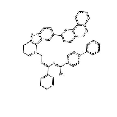 N/C(=N\C(=N/CC1=CCCc2oc3ccc(-c4ccc5ccc6ccccc6c5c4)cc3c21)C1=CCCC=C1)c1ccc(-c2ccccc2)cc1